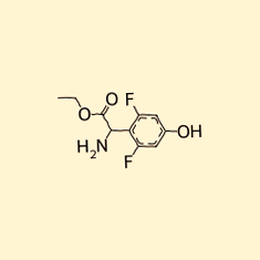 CCOC(=O)C(N)c1c(F)cc(O)cc1F